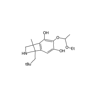 CCOC(C)Oc1c(O)cc2c(c1O)C1(C)CNC21CC(C)(C)C